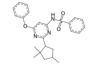 CC1CC(c2nc(NS(=O)(=O)c3ccccc3)cc(Oc3ccccc3)n2)C(C)(C)C1